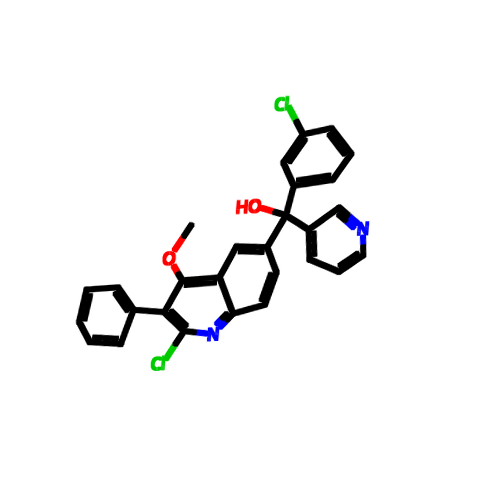 COc1c(-c2ccccc2)c(Cl)nc2ccc(C(O)(c3cccnc3)c3cccc(Cl)c3)cc12